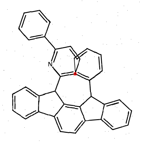 c1ccc(-c2cccc(C3c4ccccc4-c4ccc5c(c43)C(c3ccccc3)c3ccccc3-5)n2)cc1